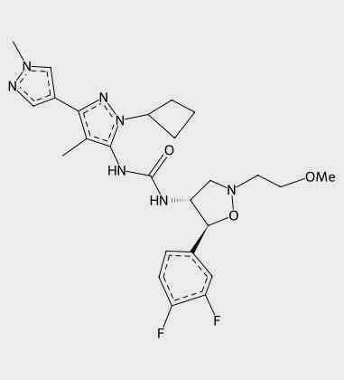 COCCN1C[C@@H](NC(=O)Nc2c(C)c(-c3cnn(C)c3)nn2C2CCC2)[C@H](c2ccc(F)c(F)c2)O1